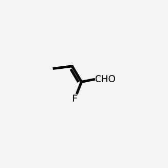 CC=C(F)C=O